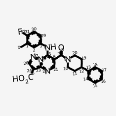 Cc1cc(Nc2c(C(=O)N3CCC(c4ccccc4)CC3)cnc3c(C(=O)O)cnn23)ccc1F